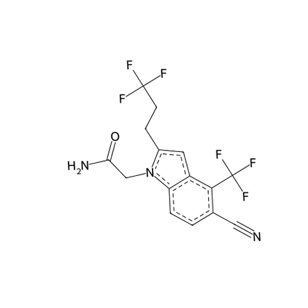 N#Cc1ccc2c(cc(CCC(F)(F)F)n2CC(N)=O)c1C(F)(F)F